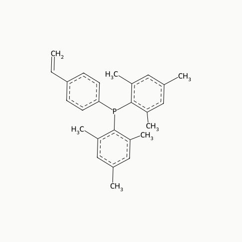 C=Cc1ccc(P(c2c(C)cc(C)cc2C)c2c(C)cc(C)cc2C)cc1